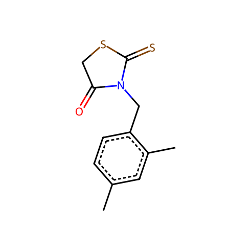 Cc1ccc(CN2C(=O)CSC2=S)c(C)c1